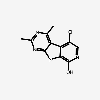 Cc1nc(C)c2c(n1)sc1c(O)ncc(Cl)c12